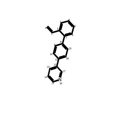 C=Cc1ccccc1-c1ccc(-c2cccnc2)cc1